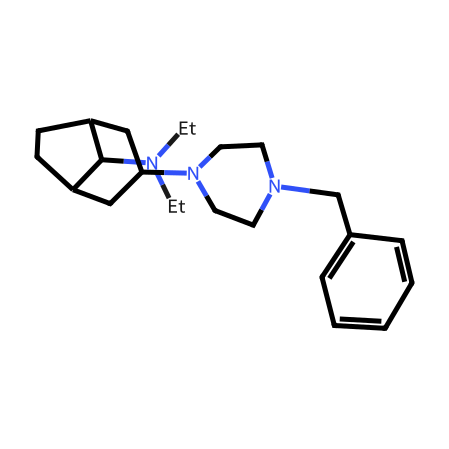 CCN(CC)C1C2CCC1CC(N1CCN(Cc3ccccc3)CC1)C2